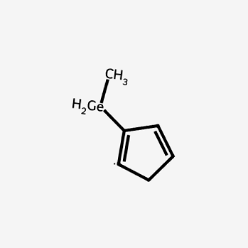 [CH3][GeH2][C]1=[C]CC=C1